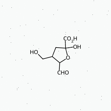 O=CC1OC(O)(C(=O)O)CC1CO